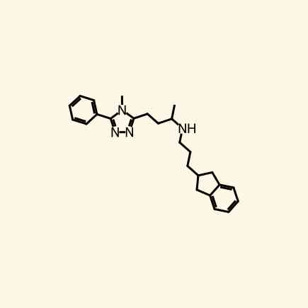 CC(CCc1nnc(-c2ccccc2)n1C)NCCCC1Cc2ccccc2C1